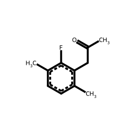 CC(=O)Cc1c(C)ccc(C)c1F